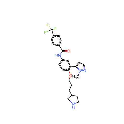 Cn1nccc1-c1cc(NC(=O)c2ccc(C(F)(F)F)cc2)ccc1OCCCC1CCNC1